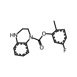 Cc1ccc(F)cc1OC(=O)N1CCNc2ccccc21